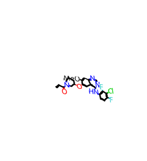 C=CC(=O)N1CCCC(Oc2cc3c(Nc4ccc(F)c(Cl)c4F)ncnc3cc2OC)C1